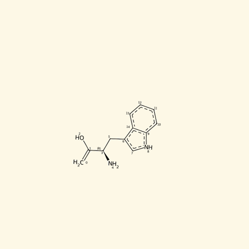 C=C(O)[C@H](N)Cc1c[nH]c2ccccc12